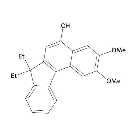 CCC1(CC)c2ccccc2-c2c1cc(O)c1cc(OC)c(OC)cc21